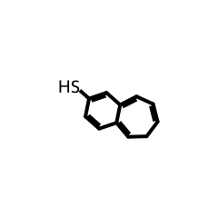 Sc1ccc2c(c1)=CC=CCC=2